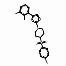 Cc1cccc(-c2csc(N3CCC(S(=O)(=O)c4ccc(Cl)cc4)CC3)n2)c1C